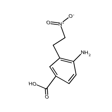 Nc1ccc(C(=O)O)cc1CC[N+](=O)[O-]